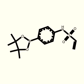 C=CS(=O)(=O)Nc1ccc(B2OC(C)(C)C(C)(C)O2)cc1